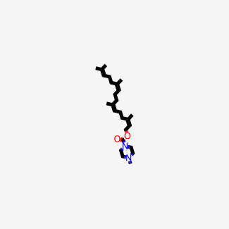 CC(C)=CCCC(C)=CCCC(C)=CCCC(C)=CCOC(=O)N1CCN(C)CC1